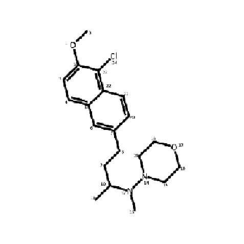 COc1ccc2cc(CCC(C)N(C)N3CCOCC3)ccc2c1Cl